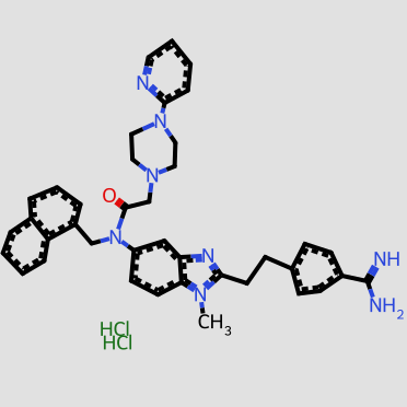 Cl.Cl.Cn1c(CCc2ccc(C(=N)N)cc2)nc2cc(N(Cc3cccc4ccccc34)C(=O)CN3CCN(c4ccccn4)CC3)ccc21